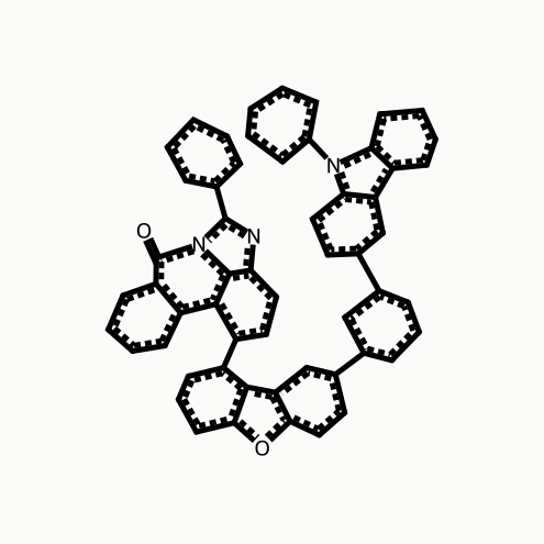 O=c1c2ccccc2c2c(-c3cccc4oc5ccc(-c6cccc(-c7ccc8c(c7)c7ccccc7n8-c7ccccc7)c6)cc5c34)ccc3nc(-c4ccccc4)n1c32